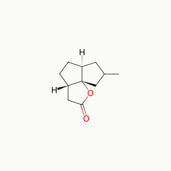 CC1C[C@@H]2CC[C@H]3CC(=O)O[C@]32C1